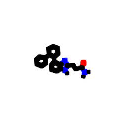 CN(C)C(=O)CCc1nc2c(-c3ccccc3-c3ccccc3)cccc2n1C